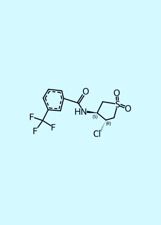 O=C(N[C@H]1CS(=O)(=O)C[C@@H]1Cl)c1cccc(C(F)(F)F)c1